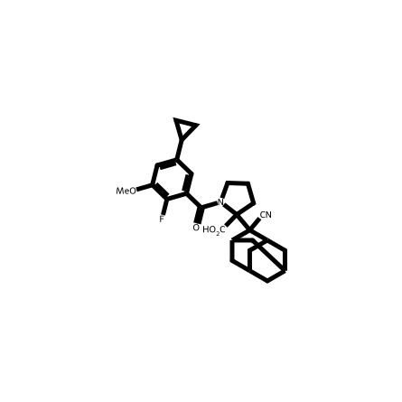 COc1cc(C2CC2)cc(C(=O)N2CCCC2(C(=O)O)C2(C#N)C3CC4CC(C3)CC2C4)c1F